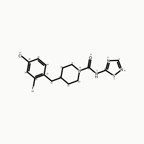 O=C(Nc1ncns1)N1CCC(Cc2ccc(Cl)cc2F)CC1